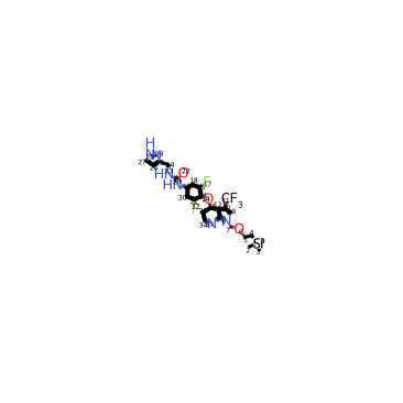 C[Si](C)(C)CCOCn1cc(C(F)(F)F)c2c(Oc3c(F)cc(NC(=O)NCc4cc[nH]n4)cc3F)ccnc21